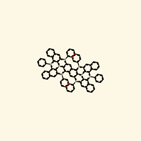 c1ccc(-n2c3cc4c(cc5c6c4n(-c4ccccc4)c4cc7ccccc7c7c4p6c4c(cc6ccccc6c4n7-c4ccccc4)n5-c4ccccc4)c4c3p3c5c2cc2ccccc2c5n(-c2ccccc2)c2c5ccccc5cc(c23)n4-c2ccccc2)cc1